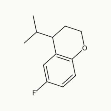 CC(C)C1CCOc2ccc(F)cc21